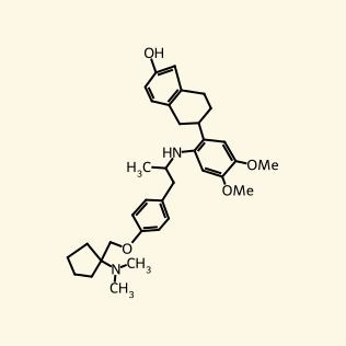 COc1cc(NC(C)Cc2ccc(OCC3(N(C)C)CCCC3)cc2)c(C2CCc3cc(O)ccc3C2)cc1OC